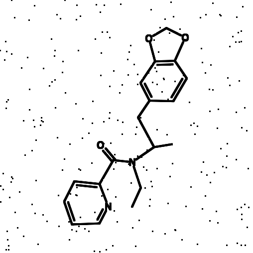 CCN(C(=O)c1ccccn1)C(C)Cc1ccc2c(c1)OCO2